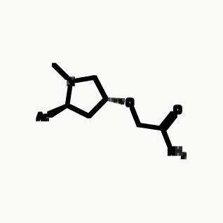 CC(=O)[C@@H]1C[C@@H](OCC(N)=O)CN1C